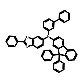 c1ccc(-c2cccc(N(c3ccc4c(c3)C(c3ccccc3)(c3ccccc3)c3ccccc3-4)c3ccc4nc(-c5ccccc5)oc4c3)c2)cc1